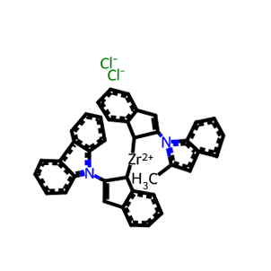 Cc1cc2ccccc2n1C1=Cc2ccccc2[CH]1[Zr+2][CH]1C(n2c3ccccc3c3ccccc32)=Cc2ccccc21.[Cl-].[Cl-]